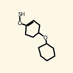 SOC1=CCC(OC2CCCCC2)CC1